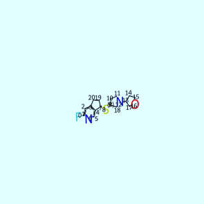 Fc1cc2c(cn1)C(S[C@@H]1CCN(C3CCOC3)C1)CC2